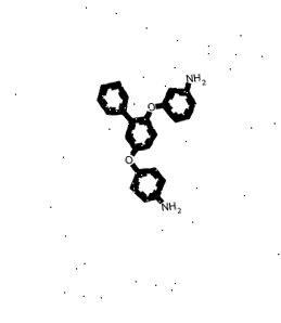 Nc1ccc(Oc2ccc(Oc3cccc(N)c3)c(-c3ccccc3)c2)cc1